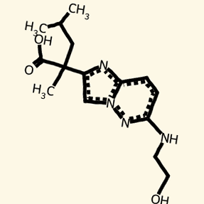 CC(C)CC(C)(C(=O)O)c1cn2nc(NCCO)ccc2n1